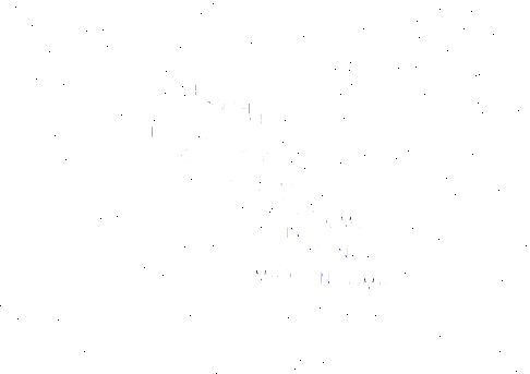 COc1nc(OC)c(NC(=O)c2ccc(Oc3c(C)cc4c(c3C)[Si](C)(C)CC[Si]4(C)C)o2)c(OC)n1